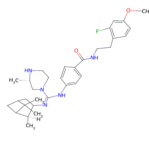 COc1ccc(CCNC(=O)c2ccc(N/C(=N/C3CC4CC([C@@H]3C)C4(C)C)N3CCN[C@@H](C)C3)cc2)c(F)c1